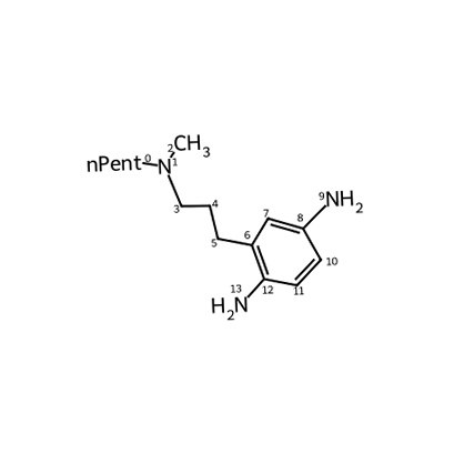 CCCCCN(C)CCCc1cc(N)ccc1N